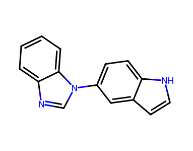 c1ccc2c(c1)ncn2-c1ccc2[nH]ccc2c1